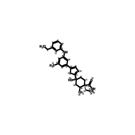 CCc1ccnc(Nc2cc(C)cc(-c3cnc([C@]4(O)CC[C@@](CC)(C(=O)O)[C@@H](C)C4)s3)c2)n1